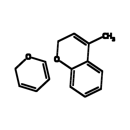 C1=CCOC=C1.CC1=CCOc2ccccc21